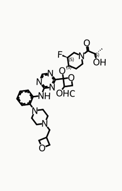 C[C@H](O)C(=O)N1CC[C@H](OC2(c3ncnc(Nc4ccccc4N4CCN(CC5COC5)CC4)n3)OCC2C=O)[C@@H](F)C1